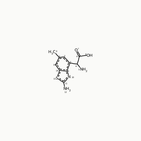 Cc1cc(C(N)C(=O)O)c2nc(N)sc2c1